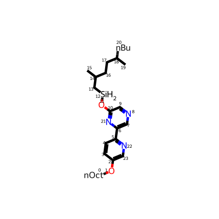 CCCCCCCCOc1ccc(-c2cncc(O[SiH2]CC(C)CCC(C)CCCC)n2)nc1